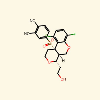 N#Cc1ccc(S(=O)(=O)[C@@]23CCO[C@@H](CCO)[C@@H]2COc2c(F)ccc(F)c23)cc1C#N